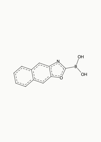 OB(O)c1nc2cc3ccccc3cc2o1